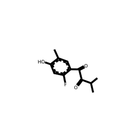 Cc1cc(C(=O)C(=O)C(C)C)c(F)cc1O